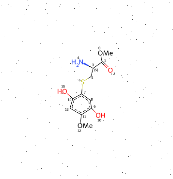 COC(=O)[C@H](N)CSc1cc(O)c(OC)cc1O